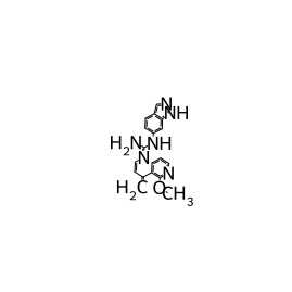 C=C(/C=C\N=C(/N)Nc1ccc2cn[nH]c2c1)c1cccnc1OC